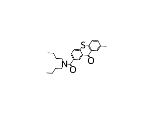 CCCCN(CCCC)C(=O)c1ccc2sc3ccc(C)cc3c(=O)c2c1